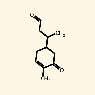 CC1=CCC(C(C)CC=O)CC1=O